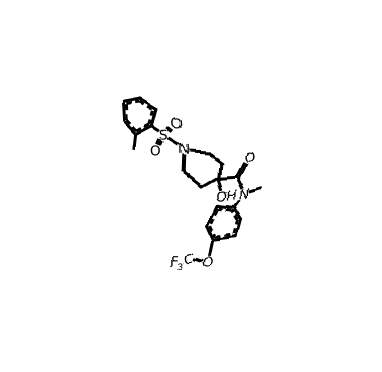 Cc1ccccc1S(=O)(=O)N1CCC(O)(C(=O)N(C)c2ccc(OC(F)(F)F)cc2)CC1